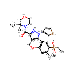 COc1cc2c(cc1S(=O)(=O)CC(C)C)-c1c(c(C(=O)N3CCOCC3(C)C)nn1-c1ccsc1)CO2